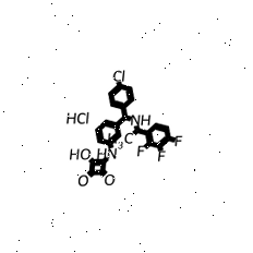 CC(NC(c1ccc(Cl)cc1)c1cccc(Nc2c(O)c(=O)c2=O)c1)c1ccc(F)c(F)c1F.Cl